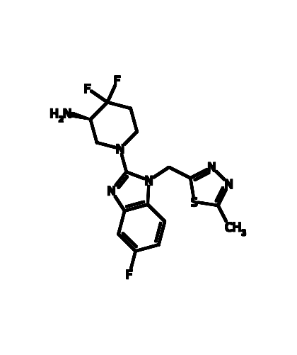 Cc1nnc(Cn2c(N3CCC(F)(F)[C@H](N)C3)nc3cc(F)ccc32)s1